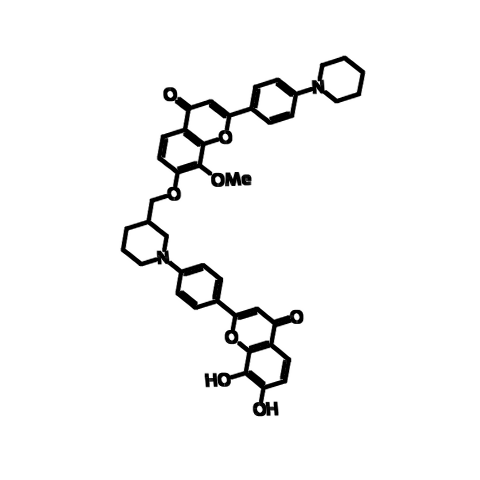 COc1c(OCC2CCCN(c3ccc(-c4cc(=O)c5ccc(O)c(O)c5o4)cc3)C2)ccc2c(=O)cc(-c3ccc(N4CCCCC4)cc3)oc12